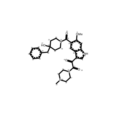 COc1cc2[nH]cc(C(=O)C(=O)N3CCN(C)CC3)c2cc1C(=O)N1CCC(O)(Cc2ccccc2)CC1